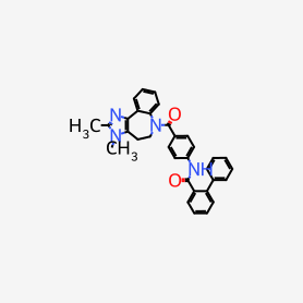 Cc1nc2c(n1C)CCN(C(=O)c1ccc(NC(=O)c3ccccc3-c3ccccc3)cc1)c1ccccc1-2